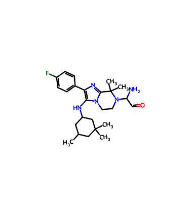 CC1CC(Nc2c(-c3ccc(F)cc3)nc3n2CCN(C(N)C=O)C3(C)C)CC(C)(C)C1